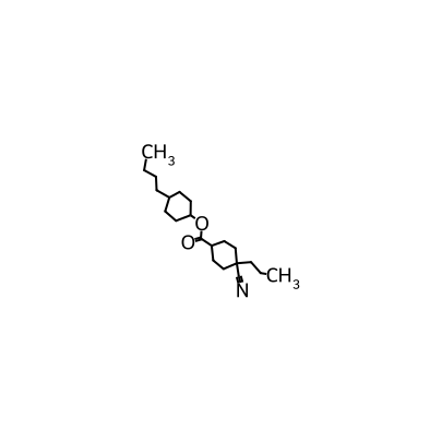 CCCCC1CCC(OC(=O)C2CCC(C#N)(CCC)CC2)CC1